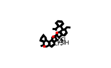 CCc1ccc2c(c1-c1ccccc1C(C)C)C=C(C)[CH]2[Zr]([Cl])([Cl])([CH]1C(C)=Cc2c1ccc(CC)c2-c1ccccc1C(C)C)[SiH](C)C